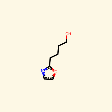 OCCCCc1ncco1